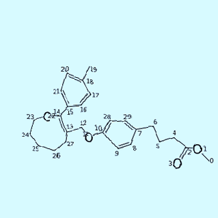 COC(=O)CCCc1ccc(OCC2=C(c3ccc(C)cc3)CCCCCC2)cc1